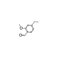 CCc1ccc(C=O)c(OC)c1